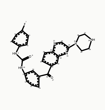 O=C(Nc1ccc(F)cc1)Nc1cccc(C(=O)c2ccc3ncc(N4CCNCC4)nc3c2)c1